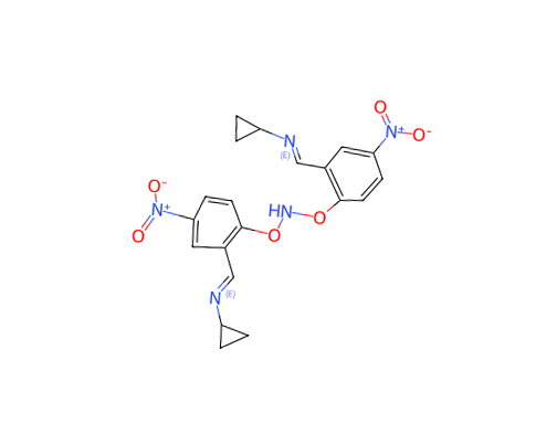 O=[N+]([O-])c1ccc(ONOc2ccc([N+](=O)[O-])cc2/C=N/C2CC2)c(/C=N/C2CC2)c1